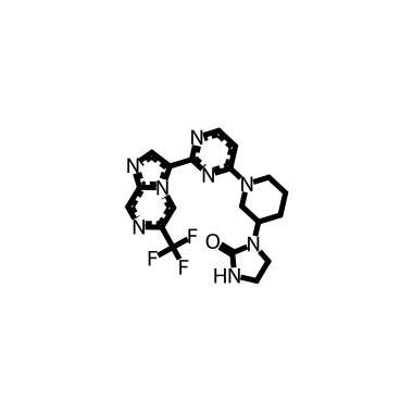 O=C1NCCN1C1CCCN(c2ccnc(-c3cnc4cnc(C(F)(F)F)cn34)n2)C1